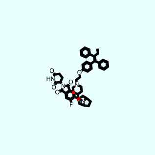 CCC(=C(c1ccccc1)c1ccc(OCCN2CCC(CN3C4CCC3CN(c3cc5c(cc3F)C(=O)N(C3CCC(=O)NC3=O)C5=O)C4)CC2)cc1)c1ccccc1